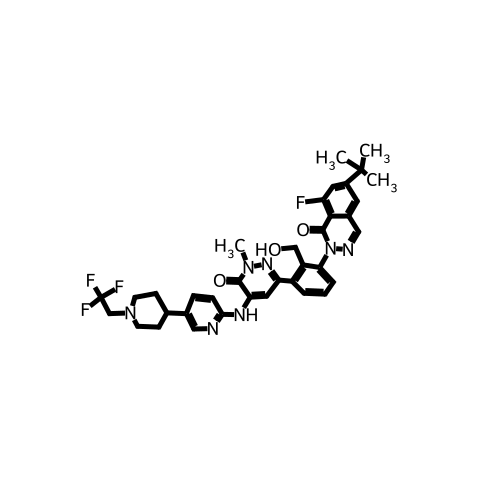 Cn1nc(-c2cccc(-n3ncc4cc(C(C)(C)C)cc(F)c4c3=O)c2CO)cc(Nc2ccc(C3CCN(CC(F)(F)F)CC3)cn2)c1=O